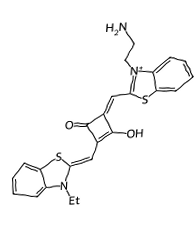 CCN1/C(=C/C2=C(O)C(=C\c3sc4ccccc4[n+]3CCN)/C2=O)Sc2ccccc21